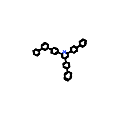 c1ccc(-c2ccc(-c3cc(-c4ccc(-c5ccccc5)cc4)nc(-c4ccc(-c5cccc(-c6ccccc6)c5)cc4)c3)cc2)cc1